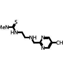 CNC(=S)NCCNCc1ncc(C)cn1